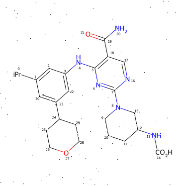 CC(C)c1cc(Nc2nc(N3CCCC(NC(=O)O)C3)ncc2C(N)=O)cc(C2CCOCC2)c1